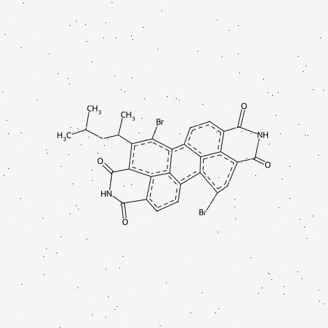 CC(C)CC(C)c1c2c3c(ccc4c5c(Br)cc6c7c(ccc(c(c1Br)c34)c75)C(=O)NC6=O)C(=O)NC2=O